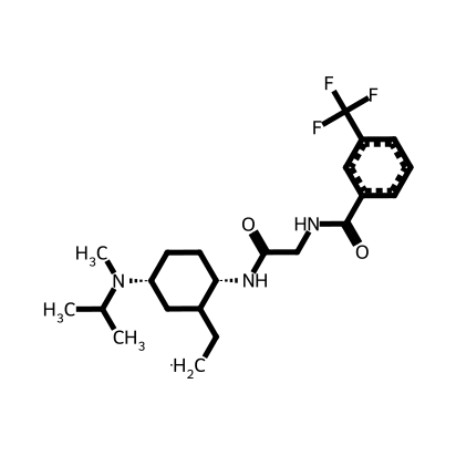 [CH2]CC1C[C@H](N(C)C(C)C)CC[C@@H]1NC(=O)CNC(=O)c1cccc(C(F)(F)F)c1